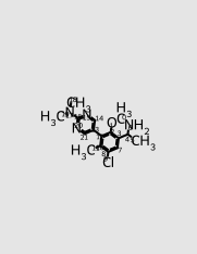 COc1c(C(C)N)cc(Cl)c(C)c1-c1cnc(N(C)C)nc1